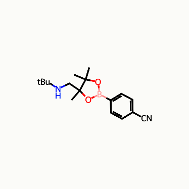 CC(C)(C)NCC1(C)OB(c2ccc(C#N)cc2)OC1(C)C